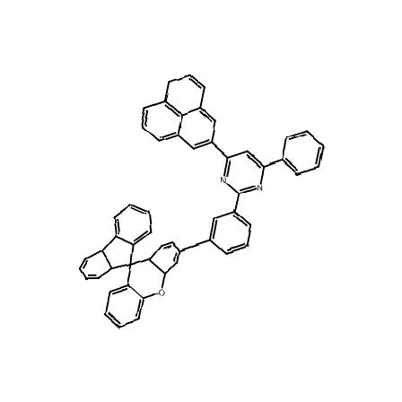 C1=CC2c3ccccc3C3(c4ccccc4OC4C=C(c5cccc(-c6nc(-c7ccccc7)cc(-c7cc8c9c(cccc9c7)CC=C8)n6)c5)C=CC43)C2C=C1